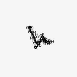 CC[C@@]1(O)C(=O)OCc2c1cc1n(c2=O)Cc2c-1nc1cc(F)c(C)c3c1c2[C@@H](NC(=O)CNC(=O)[C@H](Cc1ccccc1)NC(=O)CNC(=O)CNC(=O)CCOCCNC(=O)CCN1C(=O)C=CC1=O)CC3